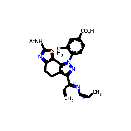 C=C/C(=N\C=C/C)c1nn(-c2ccc(C(=O)O)cc2C)c2c1CCc1nc(NC(C)=O)sc1-2